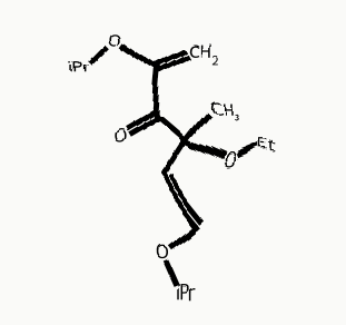 C=C(OC(C)C)C(=O)C(C)(C=COC(C)C)OCC